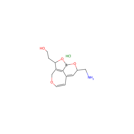 Cl.NCC1C=C2C=COCC3=C2B(O1)OC3CCO